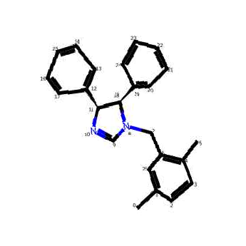 Cc1ccc(C)c(CN2C=N[C@@H](c3ccccc3)[C@H]2c2ccccc2)c1